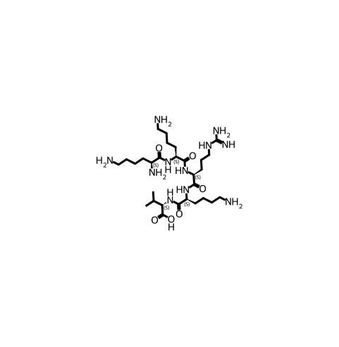 CC(C)[C@H](NC(=O)[C@H](CCCCN)NC(=O)[C@H](CCCNC(=N)N)NC(=O)[C@H](CCCCN)NC(=O)[C@@H](N)CCCCN)C(=O)O